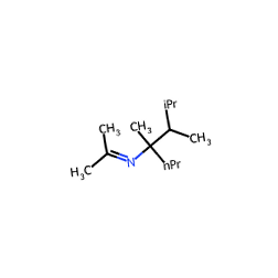 CCCC(C)(N=C(C)C)C(C)C(C)C